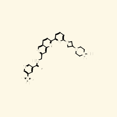 CP1(=O)CCN(C2CN(c3cccc(-c4ccc5cnc(CNC(=O)c6cncc(S(C)(=O)=O)c6)cc5n4)n3)C2)CC1